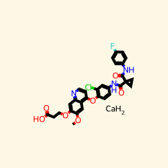 COc1cc2c(Oc3ccc(NC(=O)C4(C(=O)Nc5ccc(F)cc5)CC4)cc3Cl)ccnc2cc1OCCC(=O)O.[CaH2]